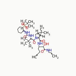 C#CCCC(NC(=O)[C@@H]1[C@@H]2[C@H](CN1C(=O)[C@@H](NC(=O)N[C@H]1CCCC[C@H]1S(=O)(=O)C(C)(C)C)C(C)(C)C)C2(C)C)C(O)C(=O)NCC=C